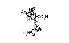 CC(=O)N1C[C@H]2CC(CSc3nnnn3CC(N)=O)=C(C(=O)O)N3C(=O)[C@@H]1[C@@H]23